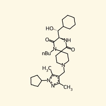 CCCCN1C(=O)[C@@H]([C@H](O)C2CCCCC2)NC(=O)C12CCN(Cc1c(C)nn(C3CCCC3)c1C)CC2